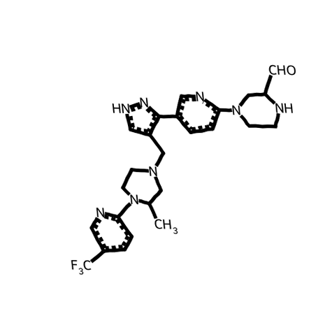 CC1CN(Cc2c[nH]nc2-c2ccc(N3CCNC(C=O)C3)nc2)CCN1c1ccc(C(F)(F)F)cn1